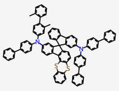 Cc1ccccc1-c1ccc(N(c2ccc(-c3ccccc3)cc2)c2ccc3c(c2)C2(c4ccccc4-c4ccc(N(c5ccc(-c6ccccc6)cc5)c5ccc(-c6ccccc6)cc5)cc42)c2ccc4c(c2-3)Sc2ccccc2S4)cc1C